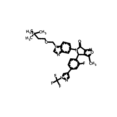 Cc1onc2c1C(c1ccc(-c3cnn(C(F)(F)F)c3)cc1F)N(c1ccc3c(c1)ncn3COCC[Si](C)(C)C)C2=O